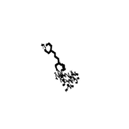 CN1CCC(CCCC2CCN(P3(N(C)C)=NP(N(C)C)(N(C)C)=NP(C)(N(C)C)=N3)CC2)CC1